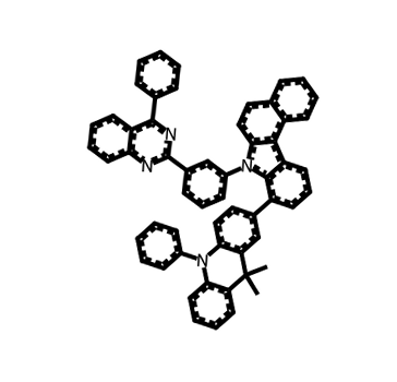 CC1(C)c2ccccc2N(c2ccccc2)c2ccc(-c3cccc4c5c6ccccc6ccc5n(-c5cccc(-c6nc(-c7ccccc7)c7ccccc7n6)c5)c34)cc21